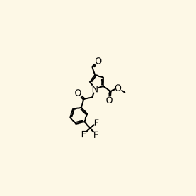 COC(=O)c1cc(C=O)cn1CC(=O)c1cccc(C(F)(F)F)c1